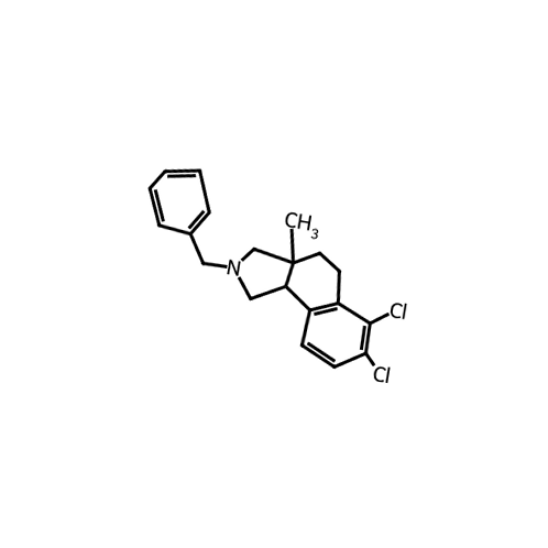 CC12CCc3c(ccc(Cl)c3Cl)C1CN(Cc1ccccc1)C2